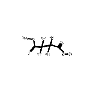 [2H]OC(=O)C([2H])([2H])C([2H])([2H])C(=O)O[2H]